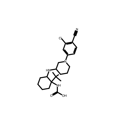 CC(C)(C)C1(NC(=O)O)CCCCC1NC1CCCN(c2ccc(C#N)c(Cl)c2)C1